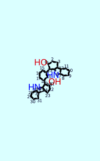 Oc1ccc2c([nH]c3ccccc32)c1-c1cccc(-c2c(O)ccc3c2[nH]c2ccccc23)c1